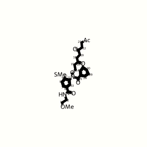 COCCNC(=O)c1ccc(SC)c(N(OCCC(=O)CCC(=O)CCC(C)=O)C(=O)c2ccccc2)c1